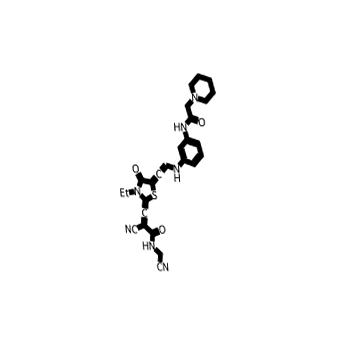 CCn1c(=C=C(C#N)C(=O)NCC#N)sc(=C=CNc2cccc(NC(=O)CN3CCCCC3)c2)c1=O